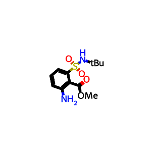 COC(=O)c1c(N)cccc1S(=O)(=O)NC(C)(C)C